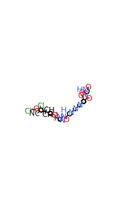 CC(C)(c1ccc(OCc2ccnc(NC(=O)C3CCN(C4CN(C5CN(c6ccc7c(c6)C(=O)N(C6CCC(=O)NC6=O)C7=O)C5)C4)CC3)n2)cc1)c1cc(Cl)c(OCCCl)c(C#N)c1